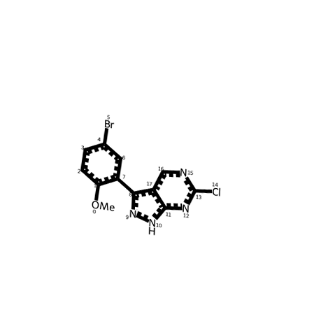 COc1ccc(Br)cc1-c1n[nH]c2nc(Cl)ncc12